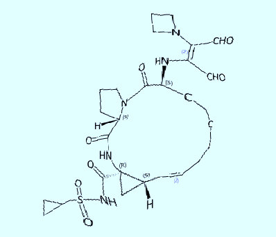 O=C/C(N[C@H]1CCCCC/C=C\[C@@H]2C[C@@]2(C(=O)NS(=O)(=O)C2CC2)NC(=O)[C@@H]2CCCN2C1=O)=C(\C=O)N1CCC1